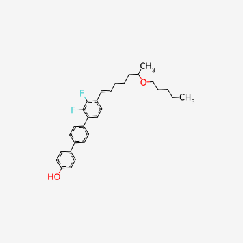 CCCCCOC(C)CCCC=Cc1ccc(-c2ccc(-c3ccc(O)cc3)cc2)c(F)c1F